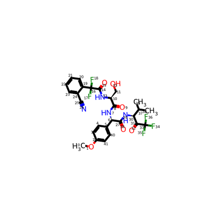 COc1ccc([C@H](NC(=O)[C@H](CO)NC(=O)C(F)(F)c2ccccc2C#N)C(=O)N[C@H](C(=O)C(F)(F)F)C(C)C)cc1